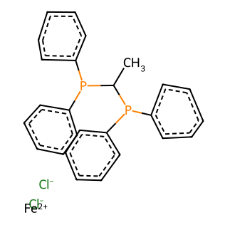 CC(P(c1ccccc1)c1ccccc1)P(c1ccccc1)c1ccccc1.[Cl-].[Cl-].[Fe+2]